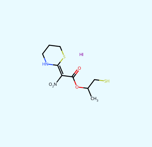 CC(CS)OC(=O)/C(=C1/NCCCS1)[N+](=O)[O-].I